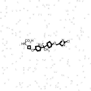 CC(C)(c1ccc(OCc2cnc(Cl)nc2)cc1)c1ccc(O[C@H]2C[C@@H](NC(=O)O)C2)cc1